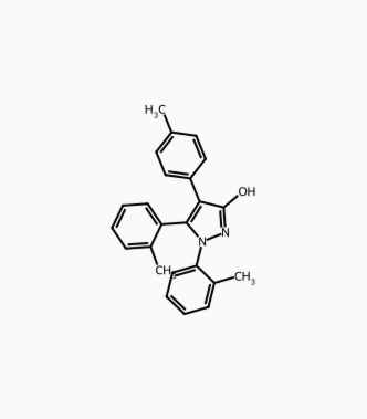 Cc1ccc(-c2c(O)nn(-c3ccccc3C)c2-c2ccccc2C)cc1